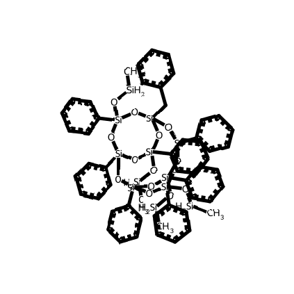 C[SiH2]O[Si]1(c2ccccc2)O[Si]2(Cc3ccccc3)O[Si](O[SiH2]C)(c3ccccc3)O[Si](c3ccccc3)(O1)O[Si]1(c3ccccc3)O[Si](O[SiH2]C)(c3ccccc3)O[Si](c3ccccc3)(O2)O[Si](O[SiH2]C)(c2ccccc2)O1